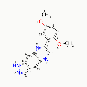 COc1ccc(OC)c(-c2cnc3cc4cn[nH]c4cc3n2)c1